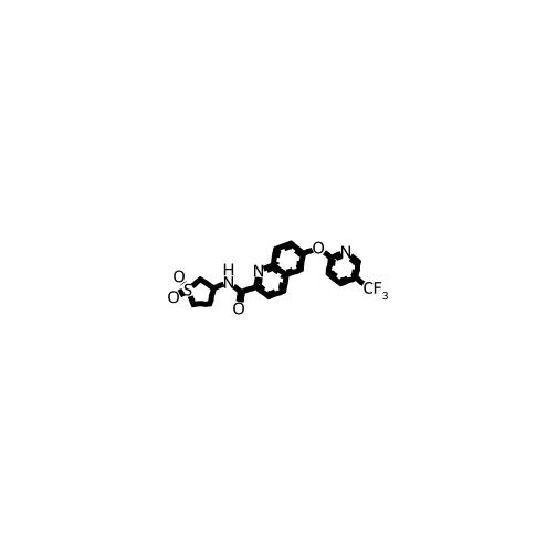 O=C(NC1CCS(=O)(=O)C1)c1ccc2cc(Oc3ccc(C(F)(F)F)cn3)ccc2n1